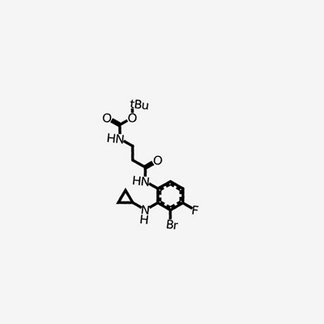 CC(C)(C)OC(=O)NCCC(=O)Nc1ccc(F)c(Br)c1NC1CC1